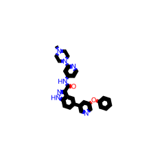 CN1CCN(c2cc(NC(=O)c3n[nH]c4ccc(-c5cncc(Oc6ccccc6)c5)cc34)ccn2)CC1